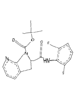 CC(C)(C)OC(=O)N1c2ncccc2CC1C(=O)Nc1c(F)cccc1F